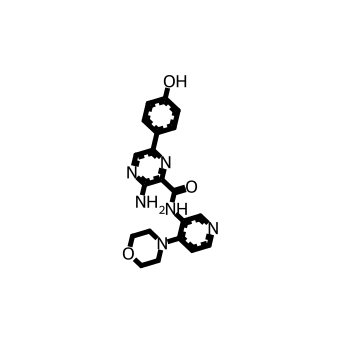 Nc1ncc(-c2ccc(O)cc2)nc1C(=O)Nc1cnccc1N1CCOCC1